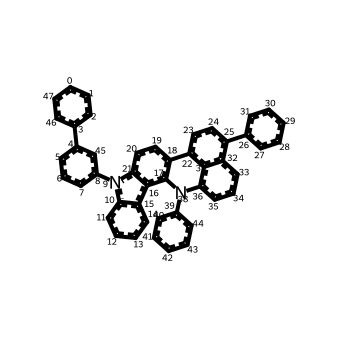 c1ccc(-c2cccc(-n3c4ccccc4c4c5c(ccc43)-c3ccc(-c4ccccc4)c4cccc(c34)N5c3ccccc3)c2)cc1